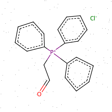 O=CC[P+](c1ccccc1)(c1ccccc1)c1ccccc1.[Cl-]